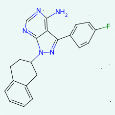 Nc1ncnc2c1c(-c1ccc(F)cc1)nn2C1CCc2ccccc2C1